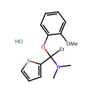 CCC(Oc1ccccc1OC)(c1cccs1)N(C)C.Cl